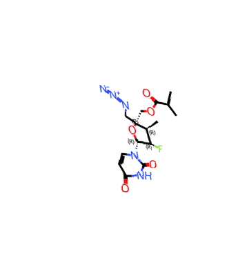 CC(C)C(=O)OC[C@@]1(CN=[N+]=[N-])O[C@@H](n2ccc(=O)[nH]c2=O)[C@H](F)[C@@H]1C